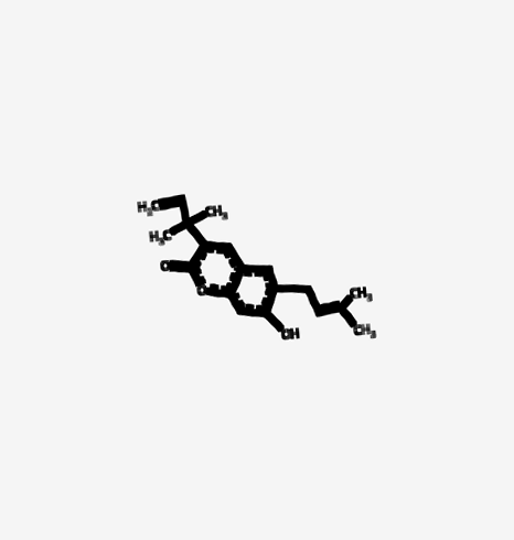 C=CC(C)(C)c1cc2cc(CC=C(C)C)c(O)cc2oc1=O